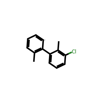 Cc1ccc[c]c1-c1cccc(Cl)c1C